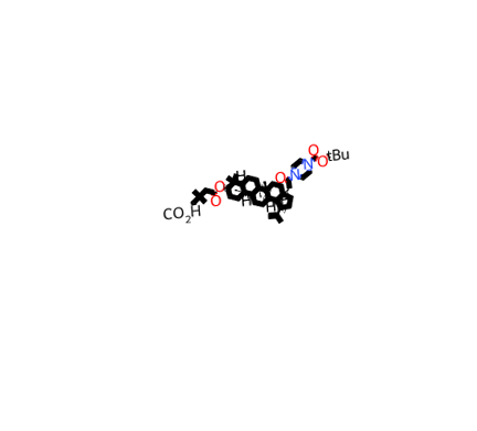 C=C(C)[C@@H]1CC[C@]2(CC(=O)N3CCN(C(=O)OC(C)(C)C)CC3)CC[C@]3(C)[C@H](CC[C@@H]4[C@@]5(C)CC[C@H](OC(=O)CC(C)(C)CC(=O)O)C(C)(C)[C@@H]5CC[C@]43C)[C@@H]12